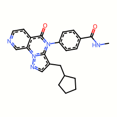 CNC(=O)c1ccc(-n2c(=O)c3ccncc3n3ncc(CC4CCCC4)c23)cc1